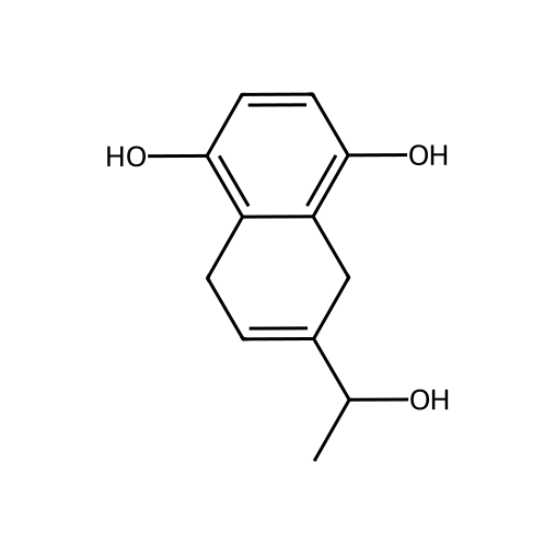 CC(O)C1=CCc2c(O)ccc(O)c2C1